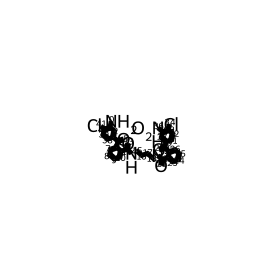 Nc1cc(C(=O)c2ccccc2C(=O)NCCCCNC(=O)c2ccccc2C(=O)c2ccc(Cl)c([N+](=O)[O-])c2)ccc1Cl